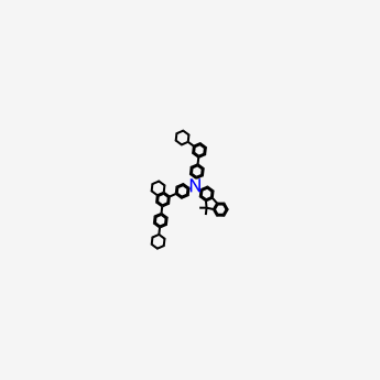 CC1(C)c2ccccc2-c2ccc(N(c3ccc(-c4cccc(C5CCCCC5)c4)cc3)c3ccc(-c4cc(-c5ccc(C6CCCCC6)cc5)cc5c4CCCC5)cc3)cc21